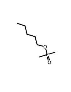 CCCCCOP(C)(C)=O